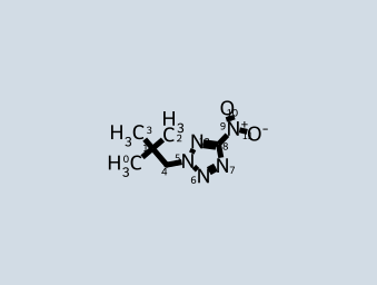 CC(C)(C)Cn1nnc([N+](=O)[O-])n1